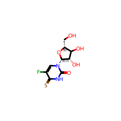 O=c1[nH]c(=S)c(F)cn1[C@@H]1O[C@H](CO)C(O)[C@@H]1O